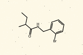 CCC(C)C(=O)NCc1ccccc1Br